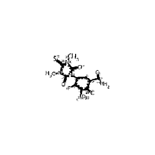 CCCCc1c(F)c(-n2c(=O)n(C)c(=S)n(C)c2=O)cc(C(N)=O)c1Cl